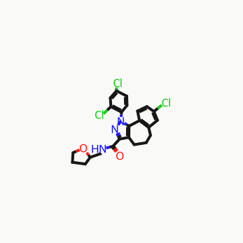 O=C(NCC1CCCO1)c1nn(-c2ccc(Cl)cc2Cl)c2c1CCCc1cc(Cl)ccc1-2